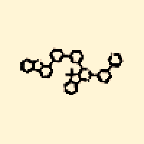 CC1(C)c2ccccc2-c2nc(-c3cccc(-c4cccnc4)c3)nc(-c3cccc(-c4cccc(-c5cccc6c5oc5ccccc56)c4)c3)c21